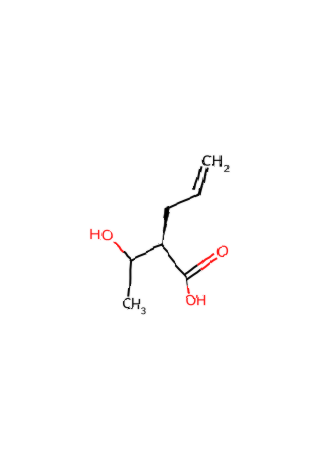 C=CC[C@@H](C(=O)O)C(C)O